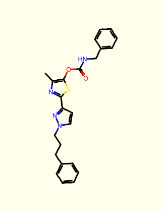 Cc1nc(-c2ccn(CCCc3ccccc3)n2)sc1OC(=O)NCc1ccccc1